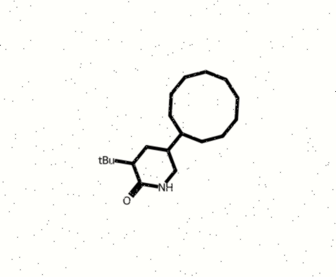 CC(C)(C)C1CC(C2CCCCCCCCC2)CNC1=O